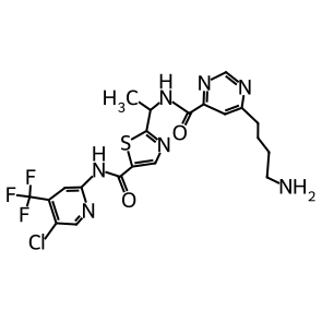 CC(NC(=O)c1cc(CCCCN)ncn1)c1ncc(C(=O)Nc2cc(C(F)(F)F)c(Cl)cn2)s1